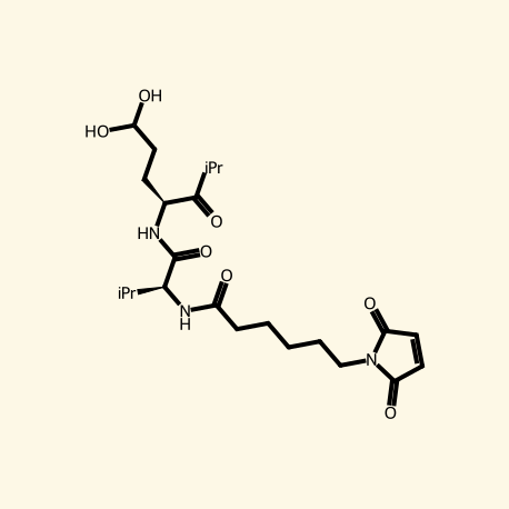 CC(C)C(=O)[C@H](CCC(O)O)NC(=O)[C@@H](NC(=O)CCCCCN1C(=O)C=CC1=O)C(C)C